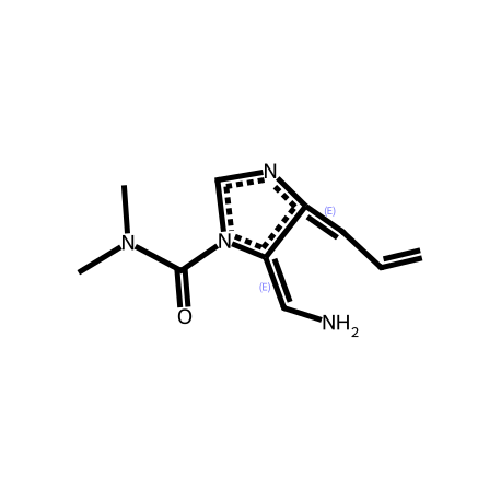 C=C/C=c1/ncn(C(=O)N(C)C)/c1=C/N